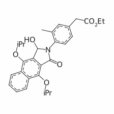 CCOC(=O)Cc1ccc(N2C(=O)c3c(c(OC(C)C)c4ccccc4c3OC(C)C)C2O)c(C)c1